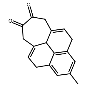 Cc1cc2c3c(c1)CC=C1CC(=O)C(=O)CC(=CC2)C13